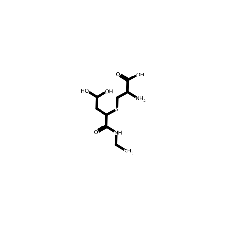 CCNC(=O)C(CC(O)O)SCC(N)C(=O)O